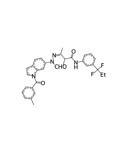 CCC(F)(F)c1cccc(NC(=O)C(C)/C(C)=N\N(C=O)c2ccc3ccn(C(=O)c4cccc(C)c4)c3c2)c1